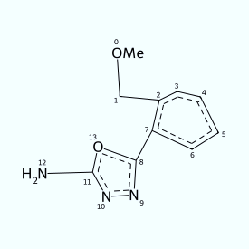 COCc1ccccc1-c1nnc(N)o1